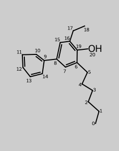 CCCCCCc1cc(-c2ccccc2)cc(CC)c1O